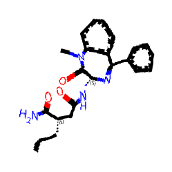 CCC[C@@H](CC(=O)N[C@H]1N=C(c2ccccc2)c2ccccc2N(C)C1=O)C(N)=O